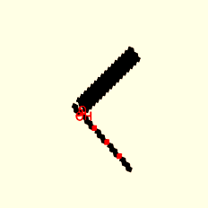 CCCC(=O)O.CCCCCC.CCCCCC.CCCCCC.CCCCCC.CCCCCC.CCCCCC.CCCCCC.CCCCCC.CCCCCC.CCCCCC.CCCCCC.CCCCCC.CCCCCC.CCCCCC.CCCCCC.CCCCCC.CCCCCC.CCCCCC.CCCCCC.CCCCCC